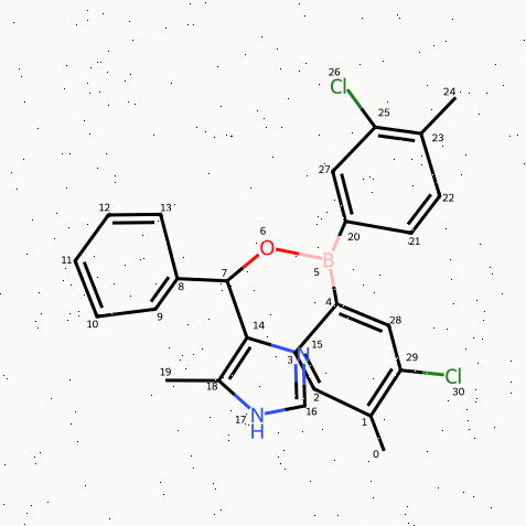 Cc1ccc(B(OC(c2ccccc2)c2nc[nH]c2C)c2ccc(C)c(Cl)c2)cc1Cl